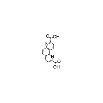 O=C(O)c1ccc2c(ccc3ccc(C(=O)O)nc32)n1